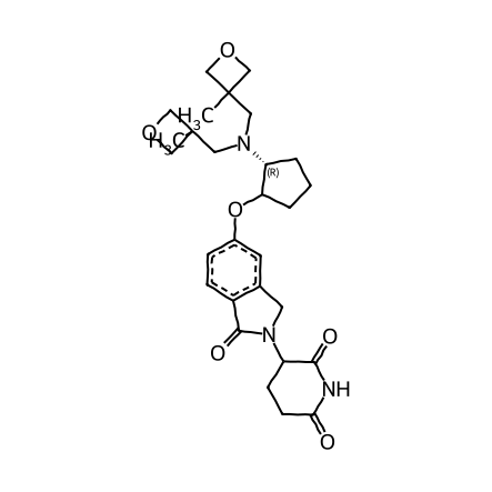 CC1(CN(CC2(C)COC2)[C@@H]2CCCC2Oc2ccc3c(c2)CN(C2CCC(=O)NC2=O)C3=O)COC1